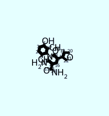 Cc1ccc(O)c(C)c1-n1c(N)c(C(N)=O)cc(C2=CCOC2)c1=O